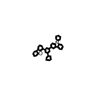 c1ccc(-c2cc(-c3ccc4c(c3)c3ccccc3n4-c3ccccc3)cc(-c3cccc4c3oc3ccccc34)c2)cc1